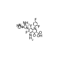 Nc1c(F)c(N2C[C@@H](n3ccnn3)[C@@H](N)C2)c(F)c2c1c(=O)c(C(=O)O)cn2-c1ccc(F)cc1F